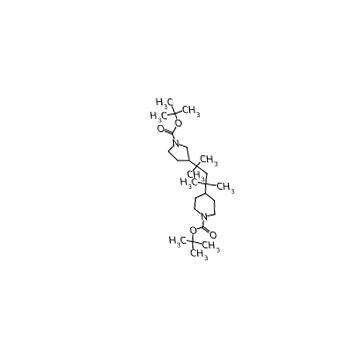 CC(C)(C)OC(=O)N1CCC(C(C)(C)CC(C)(C)C2CCN(C(=O)OC(C)(C)C)C2)CC1